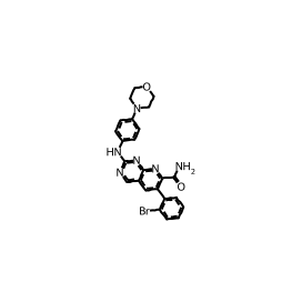 NC(=O)c1nc2nc(Nc3ccc(N4CCOCC4)cc3)ncc2cc1-c1ccccc1Br